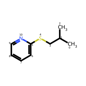 CC(C)CSc1cc[c]cn1